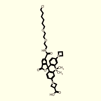 CS1(C)c2cc(N3CCC3)ccc2C2(OC(=O)c3ccc(C(=O)NCCOCCOCCCCCCCl)cc32)c2ccc(N3CC(C(=O)O)C3)cc21